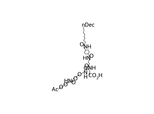 CCCCCCCCCCCCCCCCCCCC(=O)NCC1CCC(C(=O)NCCCC(=O)NC(CCC(=O)O)C(=O)NCCOCCOCC(=O)NCCOCCOCC(C)=O)CC1